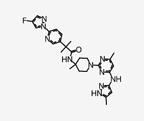 Cc1cc(Nc2cc(C)[nH]n2)nc(N2CCC(C)(NC(=O)C(C)(C)c3ccc(-n4cc(F)cn4)nc3)CC2)n1